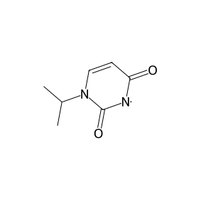 CC(C)N1C=CC(=O)[N]C1=O